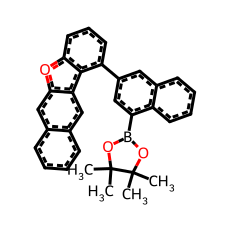 CC1(C)OB(c2cc(-c3cccc4oc5cc6ccccc6cc5c34)cc3ccccc23)OC1(C)C